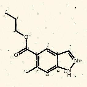 CCCOC(=O)c1cc2cn[nH]c2cc1C